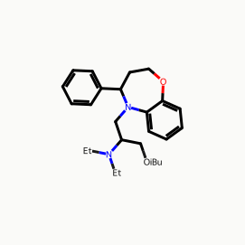 CCN(CC)C(COCC(C)C)CN1c2ccccc2OCCC1c1ccccc1